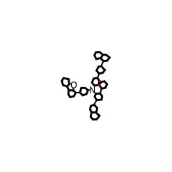 c1ccc(-c2ccc(-c3ccc4ccccc4c3)cc2N(c2ccc(-c3ccc(-c4cccc5ccccc45)cc3)cc2)c2ccc(-c3cccc4c3oc3ccccc34)cc2)cc1